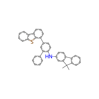 CC1(C)c2ccccc2-c2ccc(Nc3ccc(-c4cccc5c4sc4ccccc45)cc3-c3ccccc3)cc21